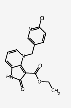 CCOC(=O)c1c2n(Cc3ccc(Cl)nc3)cccc-2[nH]c1=O